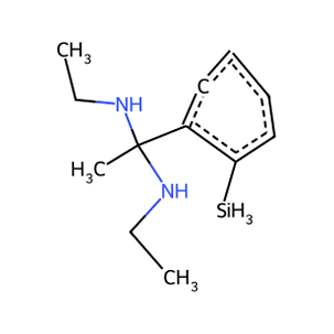 CCNC(C)(NCC)c1ccccc1[SiH3]